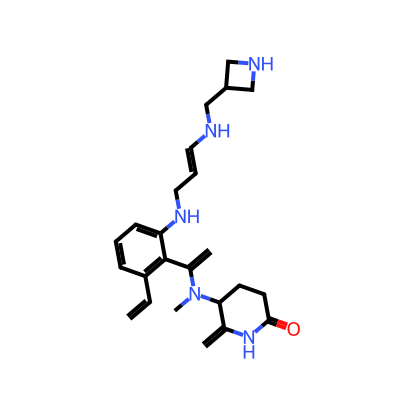 C=Cc1cccc(NC/C=C/NCC2CNC2)c1C(=C)N(C)C1CCC(=O)NC1=C